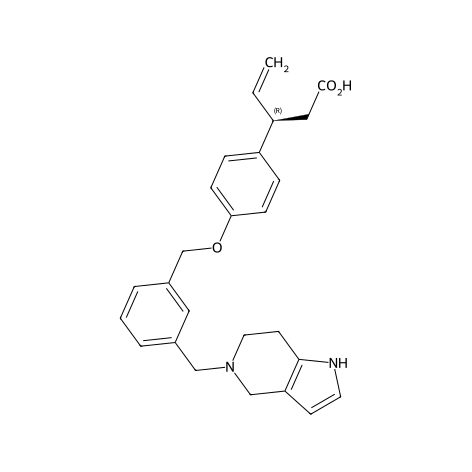 C=C[C@@H](CC(=O)O)c1ccc(OCc2cccc(CN3CCc4[nH]ccc4C3)c2)cc1